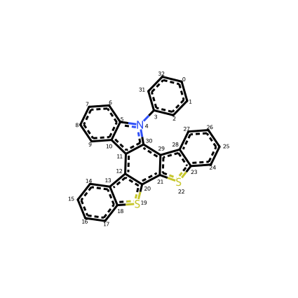 c1ccc(-n2c3ccccc3c3c4c5ccccc5sc4c4sc5ccccc5c4c32)cc1